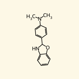 CN(C)c1ccc(C2Nc3ccccc3O2)cc1